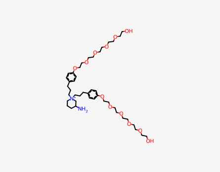 NC1CCC[N+](CCCc2ccc(OCCOCCOCCOCCOCCO)cc2)(CCCc2ccc(OCCOCCOCCOCCOCCO)cc2)C1